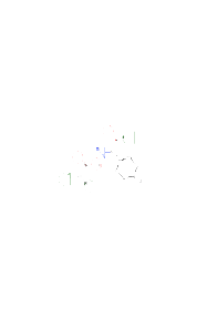 O=C(Cl)/C(=N/OC(=O)C(Cl)Cl)c1ccccc1